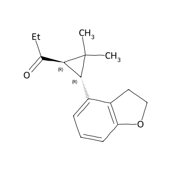 CCC(=O)[C@@H]1[C@@H](c2cccc3c2CCO3)C1(C)C